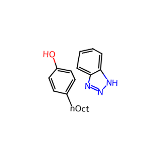 CCCCCCCCc1ccc(O)cc1.c1ccc2[nH]nnc2c1